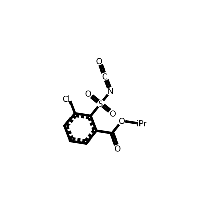 CC(C)OC(=O)c1cccc(Cl)c1S(=O)(=O)N=C=O